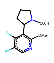 COc1ncc(F)c(F)c1C1CCCN1C(=O)O